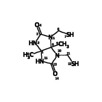 CC12NC(=O)N(CS)C1(C)N(CS)C(=O)N2